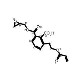 C=CC(=O)OCCc1cccc(C(=O)OCC2CO2)c1C(=O)O